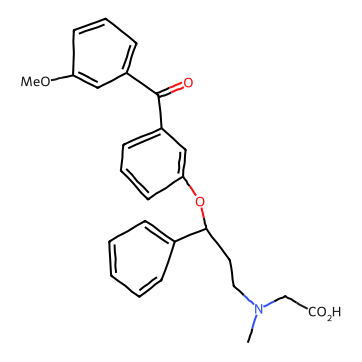 COc1cccc(C(=O)c2cccc(OC(CCN(C)CC(=O)O)c3ccccc3)c2)c1